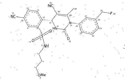 COCCCNS(=O)(=O)c1cc(C#N)ccc1[C@H]1NC(=O)N(c2cccc(CF)c2)C(C)=C1C#N